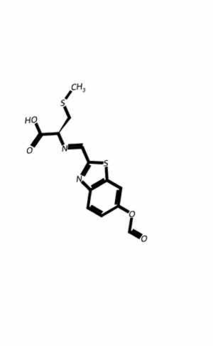 CSC[C@@H](/N=C/c1nc2ccc(OC=O)cc2s1)C(=O)O